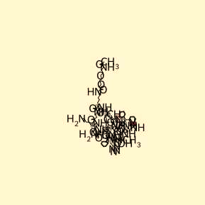 CC[C@H](C)CC(=O)N[C@@H](CCCCNC(=O)COCCOCCNC(C)=O)C(=O)NCCC(=O)N[C@H](CCCCN)C(=O)N[C@@H](CSSC[C@H](NC(=O)[C@@H]1CCCN1C(=O)[C@@H](NC(=O)[C@H](Cc1cnc[nH]1)NC(=O)[C@@H](NC(=O)[C@H](CC1N=NN=N1)NC(=O)c1ccccc1)[C@@H](C)O)C(c1ccccc1)c1ccccc1)C(N)=O)C(N)=O